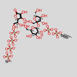 O=C1O[C@H]([C@@H](O)CO)C(O)=C1O.O=S(=O)([O-])[O-].O=S(=O)([O-])[O-].O=S(=O)([O-])[O-].O=S(=O)([O-])[O-].O=S(=O)([O-])[O-].O=S(=O)([O-])[O-].OC[C@H]1O[C@@](CO)(O[C@H]2O[C@H](CO)[C@@H](O)[C@H](O)[C@H]2O)[C@@H](O)[C@@H]1O.[Bi+3].[Bi+3].[Bi+3].[Bi+3]